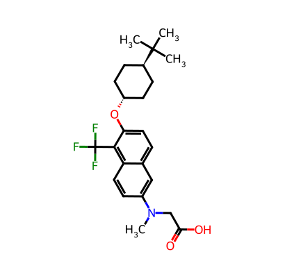 CN(CC(=O)O)c1ccc2c(C(F)(F)F)c(O[C@H]3CC[C@H](C(C)(C)C)CC3)ccc2c1